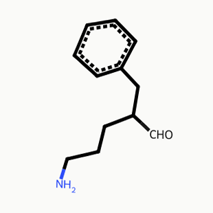 NCCCC(C=O)Cc1ccccc1